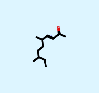 CCC(C)CCC(C)/C=C/C(C)=O